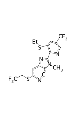 CCSc1cc(C(F)(F)F)cnc1-c1nc2cc(SCC(F)(F)F)ncc2n1C